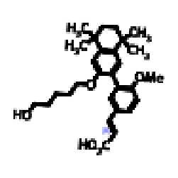 COc1ccc(/C=C/C(=O)O)cc1-c1cc2c(cc1OCCCCCO)C(C)(C)CCC2(C)C